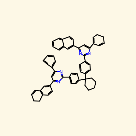 C1=CC(c2cc(-c3ccc4ccccc4c3)nc(-c3ccc(C4(c5ccc(-c6nc(-c7ccccc7)cc(-c7ccc8c(c7)C=CCC8)n6)cc5)CCCCC4)cc3)n2)=CCC1